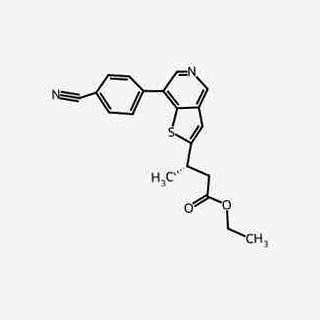 CCOC(=O)C[C@H](C)c1cc2cncc(-c3ccc(C#N)cc3)c2s1